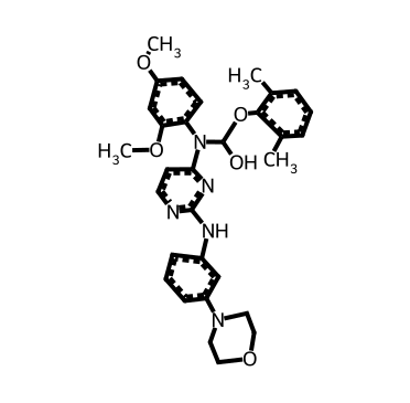 COc1ccc(N(c2ccnc(Nc3cccc(N4CCOCC4)c3)n2)C(O)Oc2c(C)cccc2C)c(OC)c1